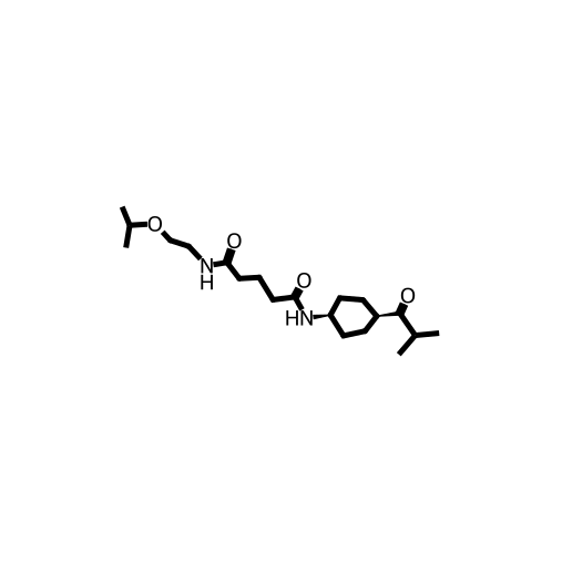 CC(C)OCCNC(=O)CCCC(=O)N[C@H]1CC[C@@H](C(=O)C(C)C)CC1